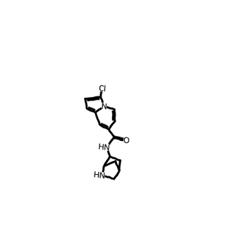 O=C(NC1CC2CNC1C2)c1ccn2c(Cl)ccc2c1